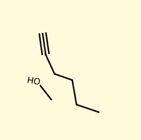 C#CCCCC.CO